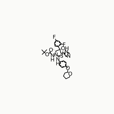 C[C@@H](N(NC(=O)OC(C)(C)C)C(=S)Nc1ccc(OC2CCCCO2)cc1)[C@](O)(Cn1cncn1)c1ccc(F)cc1F